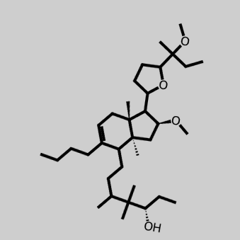 CCCCC1=CC[C@]2(C)C(C3CCC(C(C)(CC)OC)O3)[C@@H](OC)C[C@@]2(C)C1CCC(C)C(C)(C)[C@@H](O)CC